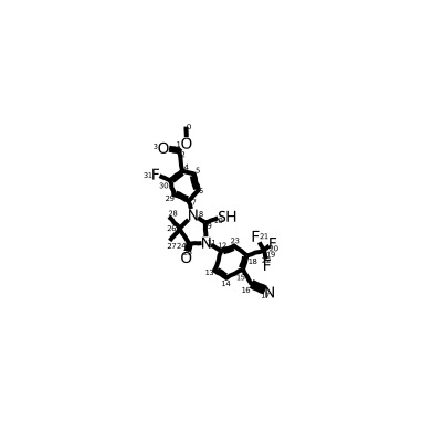 COC(=O)c1ccc(N2C(S)N(c3ccc(C#N)c(C(F)(F)F)c3)C(=O)C2(C)C)cc1F